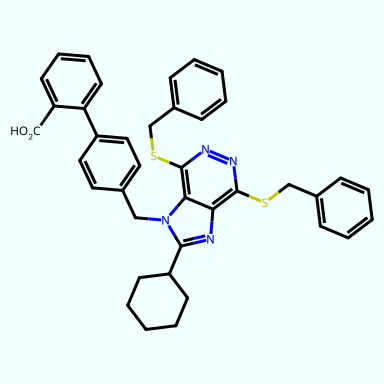 O=C(O)c1ccccc1-c1ccc(Cn2c(C3CCCCC3)nc3c(SCc4ccccc4)nnc(SCc4ccccc4)c32)cc1